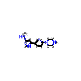 CCNc1cc(-c2ccc(N3CCN(C)CC3)nc2)ncn1